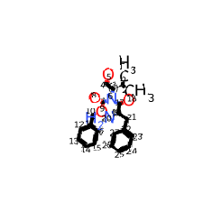 CC(C)[C@@H]([C]=O)N(C(=O)OCc1ccccc1)C(=O)[C@@H](N)Cc1ccccc1